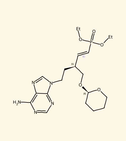 CCOP(=O)(/C=C/[C@H](CCn1cnc2c(N)ncnc21)CO[C@@H]1CCCCO1)OCC